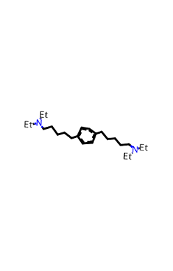 CCN(CC)CCCCCc1ccc(CCCCCN(CC)CC)cc1